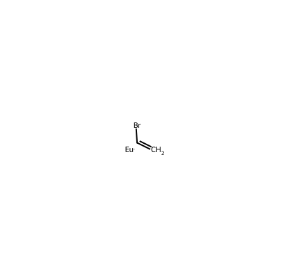 C=CBr.[Eu]